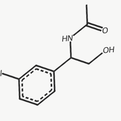 CC(=O)NC(CO)c1cccc(Cl)c1